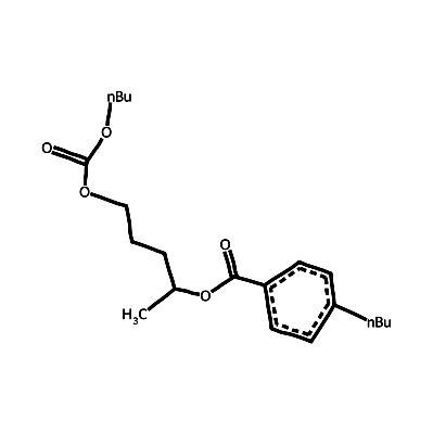 CCCCOC(=O)OCCCC(C)OC(=O)c1ccc(CCCC)cc1